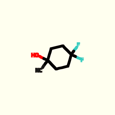 N#CC1(O)CCC(F)(F)CC1